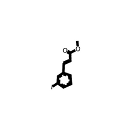 COC(=O)C=Cc1cccc(I)c1